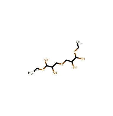 CCSC(S)C(S)CSCC(S)C(S)SCC